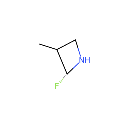 CC1CN[C@@H]1F